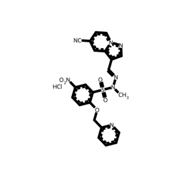 CN(N=Cc1cnn2ccc(C#N)cc12)S(=O)(=O)c1cc([N+](=O)[O-])ccc1OCc1ccccn1.Cl